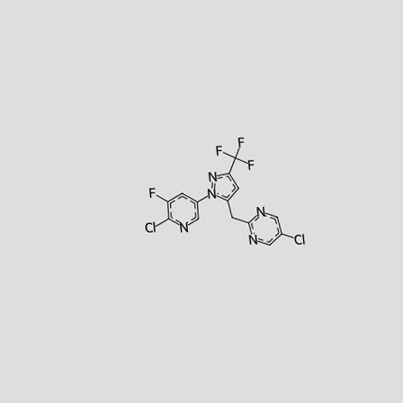 Fc1cc(-n2nc(C(F)(F)F)cc2Cc2ncc(Cl)cn2)cnc1Cl